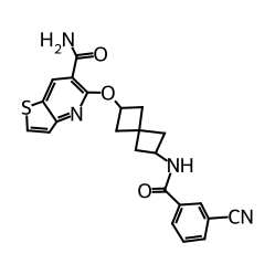 N#Cc1cccc(C(=O)NC2CC3(C2)CC(Oc2nc4ccsc4cc2C(N)=O)C3)c1